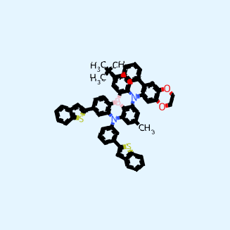 Cc1cc2c3c(c1)N(c1cc4c(cc1-c1ccccc1)OCCO4)c1ccc(C(C)(C)C)cc1B3c1ccc(-c3cc4ccccc4s3)cc1N2c1cccc(-c2cc3ccccc3s2)c1